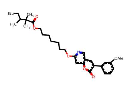 COc1cccc(-c2cc3cnc(OCCCCCCCOC(=O)C(C)(C)C(C)CC(C)(C)C)cc3oc2=O)c1